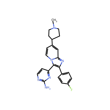 CN1CCC(c2ccn3c(-c4ccnc(N)n4)c(-c4ccc(F)cc4)nc3c2)CC1